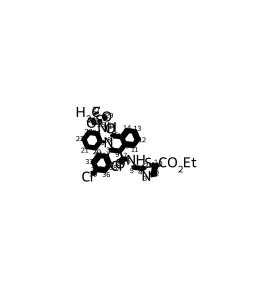 CCOC(=O)c1cnc(CNC(=O)[C@@H]2c3ccccc3C(=O)N([C@H]3CCCC[C@@H]3NS(C)(=O)=O)[C@H]2c2ccc(Cl)cc2Cl)s1